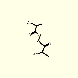 CC(=O)C(C)C(=O)OOC(=O)C(C)C(C)=O